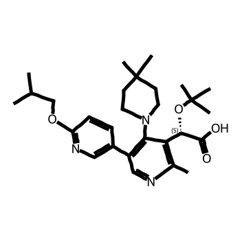 Cc1ncc(-c2ccc(OCC(C)C)nc2)c(N2CCC(C)(C)CC2)c1[C@H](OC(C)(C)C)C(=O)O